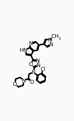 Cn1cc(-c2cnc3[nH]cc(-c4nnc(N(CC(=O)N5CCOCC5)c5ccccc5Cl)o4)c3c2)cn1